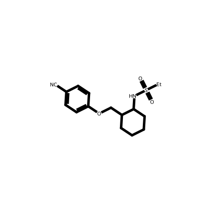 CCS(=O)(=O)NC1CCCCC1COc1ccc(C#N)cc1